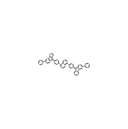 C1=Cc2c(c3cc(-c4ccccc4)ccc3n2-c2ccc(-c3cccc4c(-c5ccc(-n6c7ccccc7c7cc(-c8ccccc8)ccc76)cc5)cccc34)cc2)C1